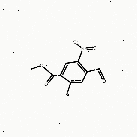 COC(=O)c1cc([N+](=O)[O-])c(C=O)cc1Br